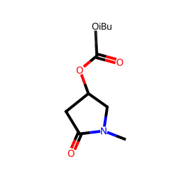 CC(C)COC(=O)OC1CC(=O)N(C)C1